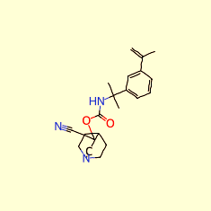 C=C(C)c1cccc(C(C)(C)NC(=O)OC2(C#N)CN3CCC2CC3)c1